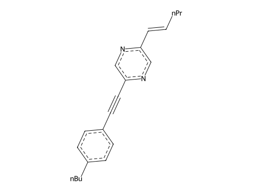 CCCC=Cc1cnc(C#Cc2ccc(CCCC)cc2)cn1